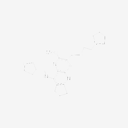 COc1nc2c(NC[C@@H]3CCOC3)c3c(nc2cc1COCCN1CCCC1)CCC3